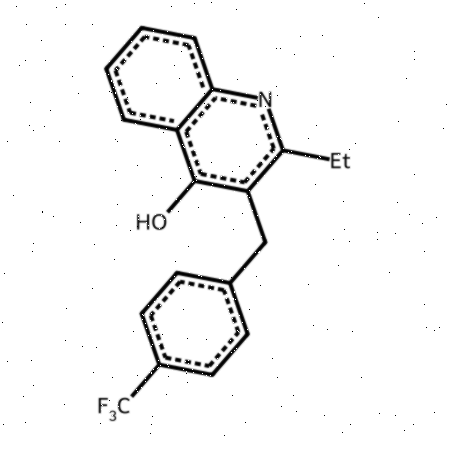 CCc1nc2ccccc2c(O)c1Cc1ccc(C(F)(F)F)cc1